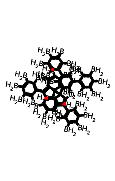 BC1=C(B)C2=C(c3c(B)c(B)c(B)c(B)c3B)c3c(B)c(B)c(O)c(B)c3C2(C23C(B)=C(B)C(c4c(B)c(B)c(B)c(B)c4B)=C2Oc2c(-c4c(B)c(B)c(B)c(B)c4B)c(B)c(-c4c(B)c(B)c(B)c(B)c4B)c(B)c23)C(B)=C1B